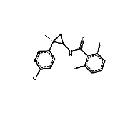 C[C@]1(c2ccc(Cl)cc2)CC1NC(=O)c1c(F)cccc1F